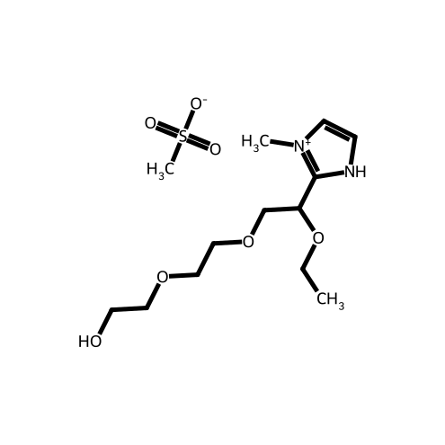 CCOC(COCCOCCO)c1[nH]cc[n+]1C.CS(=O)(=O)[O-]